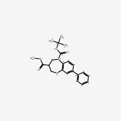 COC(=O)C1COc2cc(-c3ccccc3)ccc2N(C(=O)OC(C)(C)C)C1